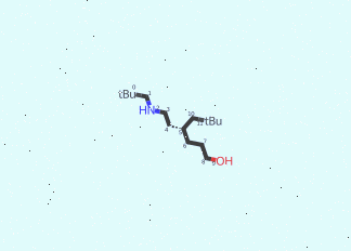 CC(C)(C)CNCC[C@@H](CCCO)CC(C)(C)C